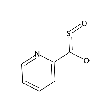 [O]C(=S=O)c1ccccn1